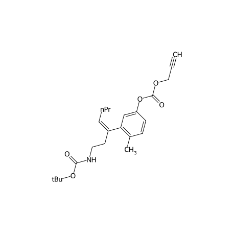 C#CCOC(=O)Oc1ccc(C)c(/C(=C\CCC)CCNC(=O)OC(C)(C)C)c1